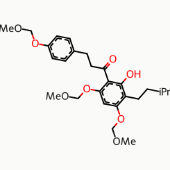 COCOc1ccc(CCC(=O)c2c(OCOC)cc(OCOC)c(CCC(C)C)c2O)cc1